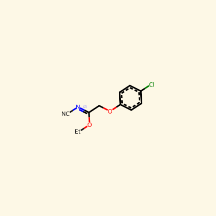 CCO/C(COc1ccc(Cl)cc1)=N\C#N